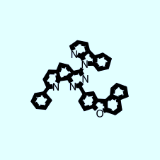 c1ccc(-c2ccc3ccc4c(-n5c6ccccc6c6cccnc65)nc(-c5ccc6oc7ccc8ccccc8c7c6c5)nc4c3n2)cc1